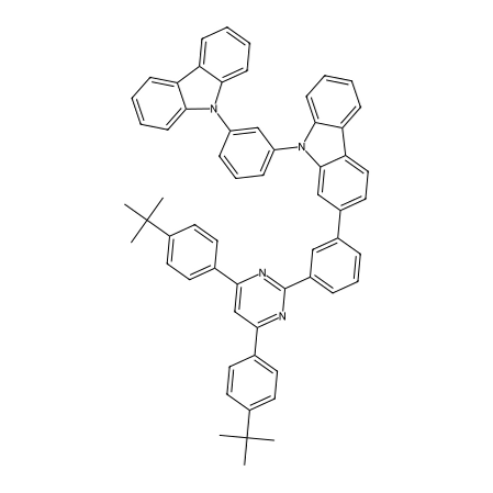 CC(C)(C)c1ccc(-c2cc(-c3ccc(C(C)(C)C)cc3)nc(-c3cccc(-c4ccc5c6ccccc6n(-c6cccc(-n7c8ccccc8c8ccccc87)c6)c5c4)c3)n2)cc1